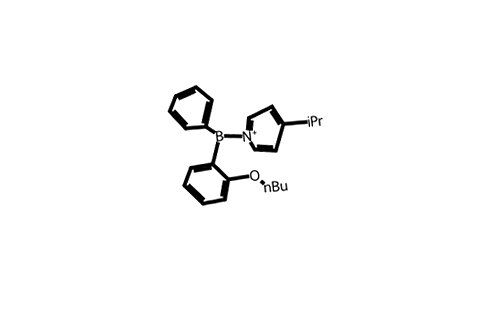 CCCCOc1ccccc1B(c1ccccc1)[n+]1ccc(C(C)C)cc1